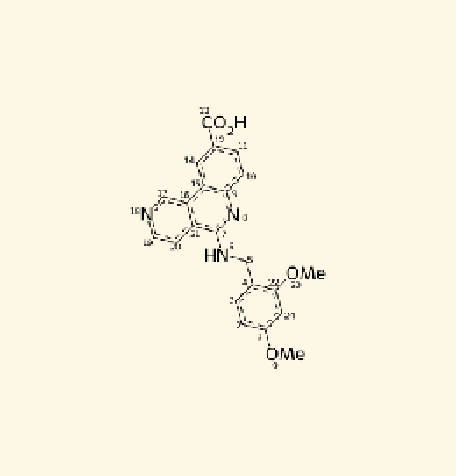 COc1ccc(CNc2nc3ccc(C(=O)O)cc3c3cnccc23)c(OC)c1